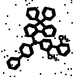 Cc1ccccc1-c1ccc(N(c2ccc(-c3ccccc3)cc2)c2cccc3c2-c2ccccc2C3(c2ccccc2)c2ccccc2)cc1C